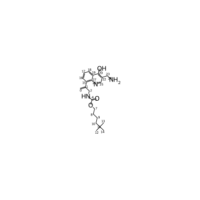 C=C(CNC(=O)OCCCCC(C)(C)C)c1cccc2c(O)c(CN)cnc12